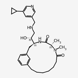 C[C@H]1C(=O)N[C@H]([C@H](O)CNCc2cncc(C3CC3)c2)Cc2cccc(c2)CCCCCCC(=O)N1C